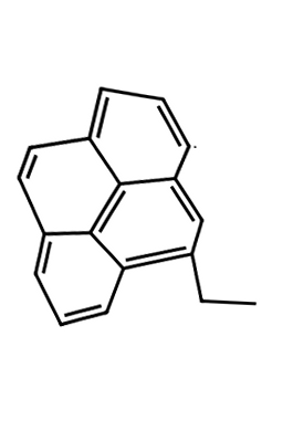 CCc1cc2[c]ccc3ccc4cccc1c4c23